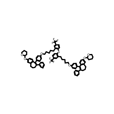 FC(F)(F)c1ccc(Sc2ccc(C(F)(F)F)cc2CCCCCOc2ccc(C3=C(c4ccccc4)CCCc4cc(OC5CCCCO5)ccc43)cc2)c(CCCCCOc2ccc(C3=C(c4ccccc4)CCCc4cc(OC5CCCCO5)ccc43)cc2)c1